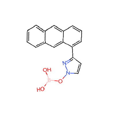 OB(O)On1ccc(-c2cccc3cc4ccccc4cc23)n1